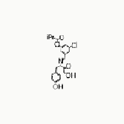 CC(C)C(=O)Oc1cc(Cl)cc(C=NC(Cc2ccc(O)cc2)C(=O)CO)c1